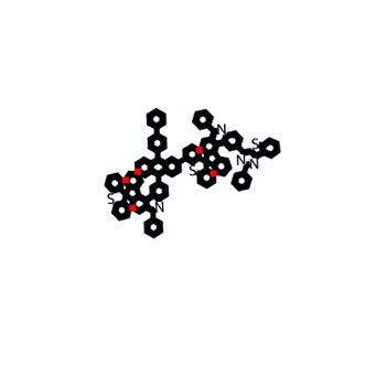 c1ccc(-c2ccc(-c3c4ccccc4c(-c4ccc5nc(-c6ccccc6)c6ccc7c(c6c5c4)-c4ccccc4C74c5ccccc5Sc5ccccc54)c4ccc(-c5cccc6c5Sc5ccccc5C65c6ccccc6-c6c5ccc5c(-c7ccccc7)nc7ccc(-c8nc(-c9ccccc9)nc9c8sc8ccccc89)cc7c65)cc34)cc2)cc1